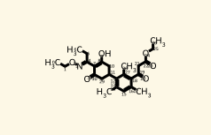 CCON=C(CC)C1=C(O)CC(c2c(C)cc(C)c(C(=O)CC(=O)OCC)c2C)CC1=O